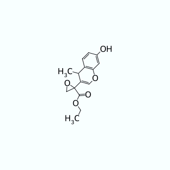 CCOC(=O)C1(C2=COc3cc(O)ccc3C2C)CO1